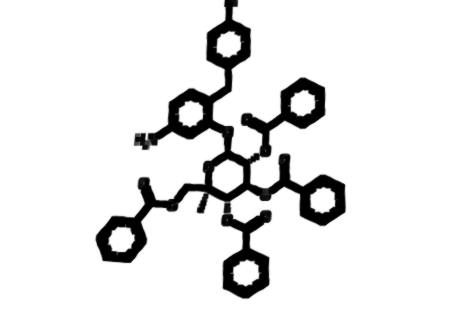 CCc1ccc(Cc2ccc(N)cc2O[C@@H]2O[C@](C)(COC(=O)c3ccccc3)[C@@H](OC(=O)c3ccccc3)[C@H](OC(=O)c3ccccc3)[C@H]2OC(=O)c2ccccc2)cc1